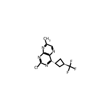 Cc1cnc2c(n1)nc(Cl)nc2[C@H]1C[C@H](C(F)(F)F)C1